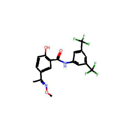 CON=C(C)c1ccc(O)c(C(=O)Nc2cc(C(F)(F)F)cc(C(F)(F)F)c2)c1